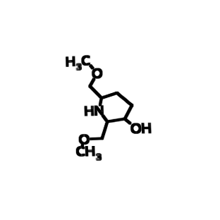 COCC1CCC(O)C(COC)N1